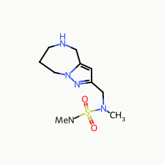 CNS(=O)(=O)N(C)Cc1cc2n(n1)CCCNC2